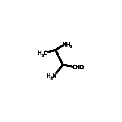 CC(N)C(N)C=O